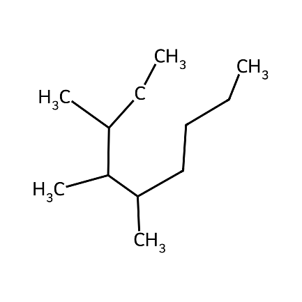 CCCCC(C)C(C)C(C)CC